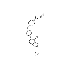 N#CCC(=O)N1CCN(Cc2ccc(-c3ccc4c(nnn4CC4CC4)c3Cl)cc2)CC1